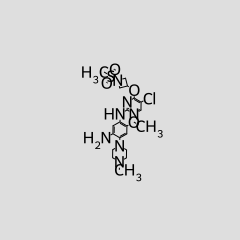 COc1cc(N2CCN(C)CC2)c(N)cc1Nc1ncc(Cl)c(OC2CN(S(C)(=O)=O)C2)n1